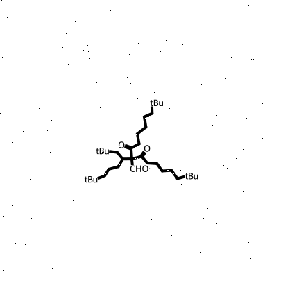 CC(C)(C)CCCCCC(=O)C([C]=O)(C(=O)CCCCCC(C)(C)C)C(CCCC(C)(C)C)CC(C)(C)C